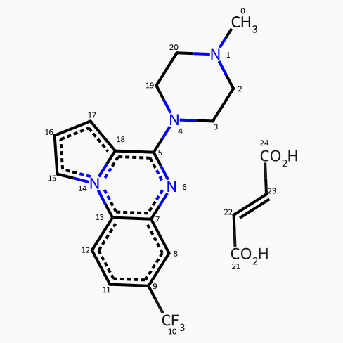 CN1CCN(c2nc3cc(C(F)(F)F)ccc3n3cccc23)CC1.O=C(O)C=CC(=O)O